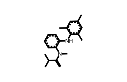 C=C(C(C)C)N(C)c1ccccc1Nc1c(C)cc(C)cc1C